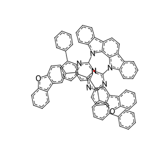 c1ccc(-c2cccc(-c3nc(-c4cccc(-c5ccccc5)c4)nc(-n4c5ccccc5c5ccc6c7ccccc7n(-c7nc(-c8ccc9oc%10ccccc%10c9c8)cc(-c8ccc9oc%10ccccc%10c9c8)n7)c6c54)n3)c2)cc1